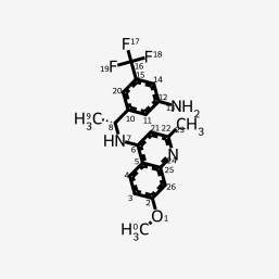 COc1ccc2c(N[C@H](C)c3cc(N)cc(C(F)(F)F)c3)cc(C)nc2c1